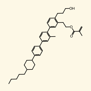 C=C(C)C(=O)OCCc1cc(-c2ccc(-c3ccc(C4CCC(CCCCC)CC4)cc3)cc2C)ccc1CCCO